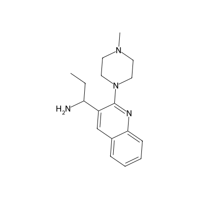 CCC(N)c1cc2ccccc2nc1N1CCN(C)CC1